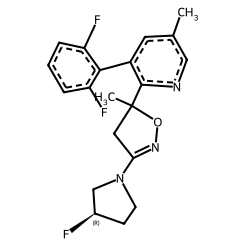 Cc1cnc(C2(C)CC(N3CC[C@@H](F)C3)=NO2)c(-c2c(F)cccc2F)c1